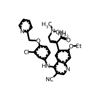 CCOc1cc2ncc(C#N)c(Nc3ccc(OCc4ccccn4)c(Cl)c3)c2cc1C(=CCN(C)C)C(N)=O